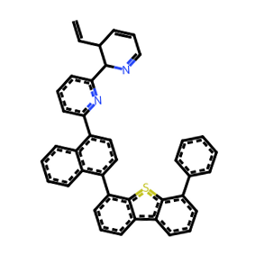 C=CC1C=CC=NC1c1cccc(-c2ccc(-c3cccc4c3sc3c(-c5ccccc5)cccc34)c3ccccc23)n1